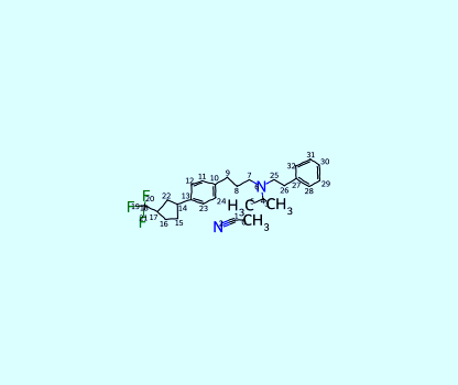 CC#N.CC(C)N(CCCc1ccc(C2CCC(C(F)(F)F)C2)cc1)CCc1ccccc1